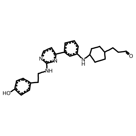 O=CCCC1CCC(Nc2cccc(-c3ccnc(NCCc4ccc(O)cc4)n3)c2)CC1